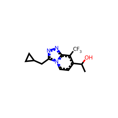 CC(O)c1ccn2c(CC3CC3)nnc2c1C(F)(F)F